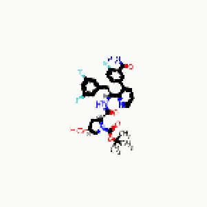 CC(C)(C)OC(=O)N1C[C@H](O)C[C@H]1C(=O)N[C@@H](Cc1cc(F)cc(F)c1)c1ncccc1-c1ccc(F)c(C(N)=O)c1